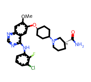 COc1cc2ncnc(Nc3cccc(Cl)c3F)c2cc1O[C@H]1CC[C@H](N2CCC[C@@H](C(N)=O)C2)CC1